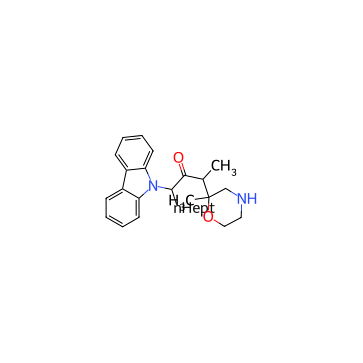 CCCCCCCC(C(=O)C(C)C1(C)CNCCO1)n1c2ccccc2c2ccccc21